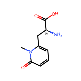 Cn1c(C[C@H](N)C(=O)O)cccc1=O